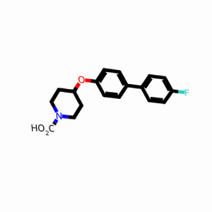 O=C(O)N1CCC(Oc2ccc(-c3ccc(F)cc3)cc2)CC1